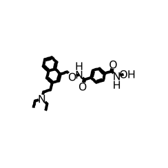 CCN(CC)CCc1cc(CONC(=O)c2ccc(C(=O)NO)cc2)c2ccccc2c1